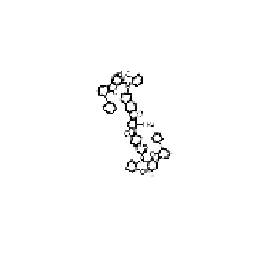 Cc1ccccc1N(c1ccc2cc3c(cc2c1)oc1c(C(C)(C)C)c2c(cc13)oc1cc3cc(N(c4ccccc4C)c4cccc5c4oc4c(-c6ccccc6)cccc45)ccc3cc12)c1cccc2c1oc1c(-c3ccccc3)cccc12